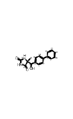 CC1(C(O)c2ccc(-c3ccccc3)cc2)NC(=O)NC1=O